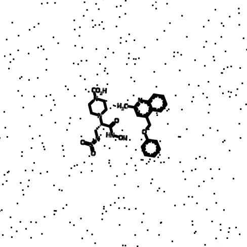 Cc1cc(COc2ccccc2)c2ccccc2n1.O=C(NO)[C@H](CN=S(=O)=O)N1CCN(C(=O)O)CC1